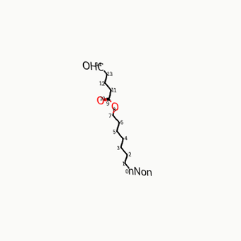 CCCCCCCCCCCCCCCCOC(=O)CCCC=O